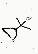 CC(C)(O)C1CO1